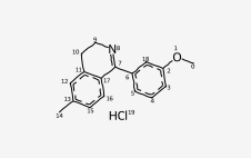 COc1cccc(C2=NCCc3cc(C)ccc32)c1.Cl